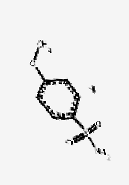 COc1ccc(S(N)(=O)=O)cc1.I